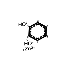 [OH-].[OH-].[Zn+2].c1ccccc1